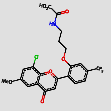 COc1cc(Cl)c2oc(-c3ccc(C(F)(F)F)cc3OCCCNC(=O)C(=O)O)cc(=O)c2c1